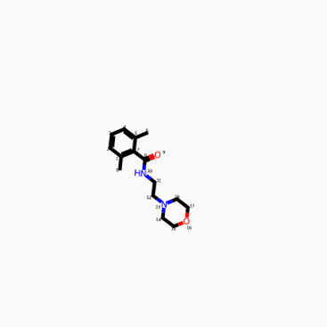 Cc1cccc(C)c1C(=O)NCCN1CCOCC1